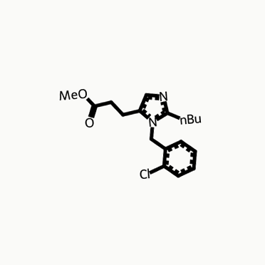 CCCCc1ncc(CCC(=O)OC)n1Cc1ccccc1Cl